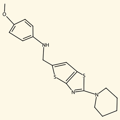 COc1ccc(NCc2cc3sc(N4CCCCC4)nc3s2)cc1